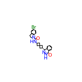 O=C(N[C@H]1CC2(C1)C[C@H](c1n[nH]c(=O)c3ccccc31)C2)N1CCc2cc(Br)ccc21